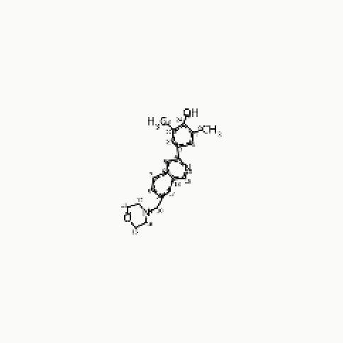 Cc1cc(-c2cc3ccc(CN4CCOCC4)cc3cn2)cc(C)c1O